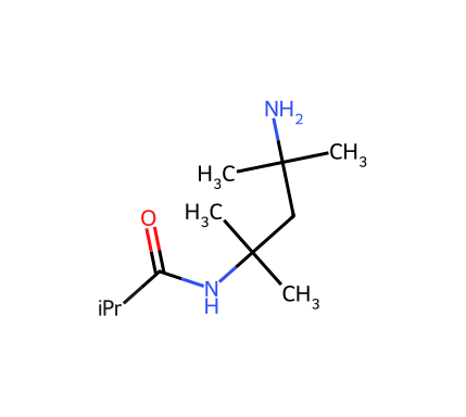 CC(C)C(=O)NC(C)(C)CC(C)(C)N